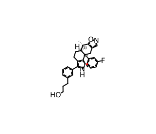 C[C@@H]1c2oncc2C[C@]2(c3cccc(F)c3)c3n[nH]c(-c4cccc(CCCO)c4)c3CC[C@@H]12